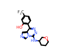 Oc1cc(C(F)(F)F)ccc1-c1nnc(NC2CCCOC2)n2cncc12